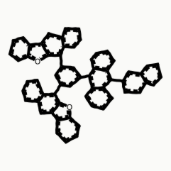 c1ccc2cc(-c3c4ccccc4c(-c4cc(-c5c6ccccc6cc6c5oc5ccccc56)cc(-c5c6ccccc6cc6c5oc5ccccc56)c4)c4ccccc34)ccc2c1